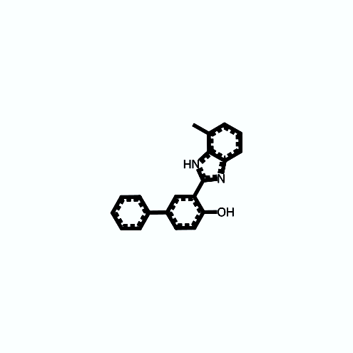 Cc1cccc2nc(-c3cc(-c4ccccc4)ccc3O)[nH]c12